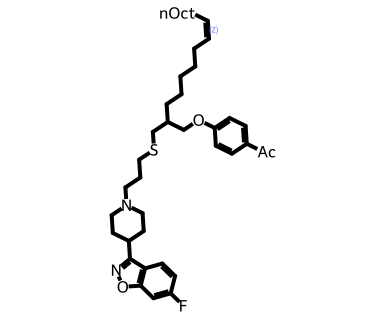 CCCCCCCC/C=C\CCCCCC(COc1ccc(C(C)=O)cc1)CSCCCN1CCC(c2noc3cc(F)ccc23)CC1